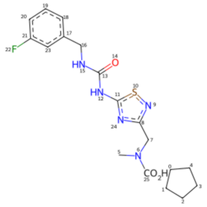 C1CCCC1.CN(Cc1nsc(NC(=O)NCc2cccc(F)c2)n1)C(=O)O